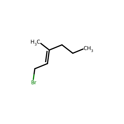 CCCC(C)=CCBr